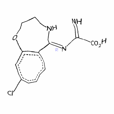 N=C(/N=C1\NCCOc2cc(Cl)ccc21)C(=O)O